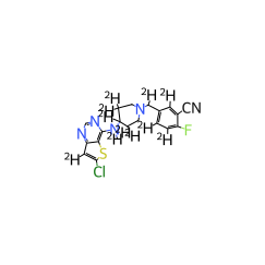 [2H]c1c([2H])c(C([2H])N2CC([2H])([2H])C([2H])(N([2H])c3ncnc4c([2H])c(Cl)sc34)C([2H])([2H])C2)c([2H])c(C#N)c1F